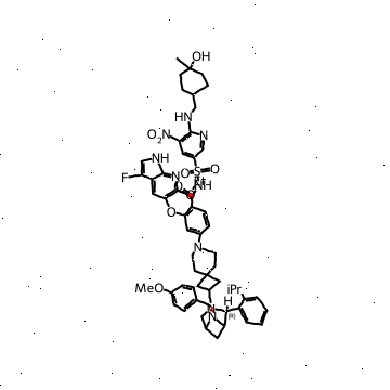 CCOc1nc2[nH]cc(F)c2cc1Oc1cc(N2CCC3(CC2)CC(N2CC4CC([C@H]2c2ccccc2C(C)C)N4Cc2ccc(OC)cc2)C3)ccc1C(=O)NS(=O)(=O)c1cnc(NCC2CCC(C)(O)CC2)c([N+](=O)[O-])c1